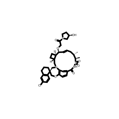 C[C@@H]1[C@@H](C)C/C=C/[C@H](OCC(=O)N2CC[C@@H](O)C2)[C@@H]2CC[C@H]2CN2C[C@@]3(CCCc4cc(Cl)ccc43)COc3ccc(cc32)C(=O)NS1(=O)=O